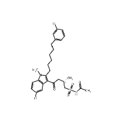 CC(=O)NS(=O)(=O)C[C@@H](C)CC(=O)c1c(CCCCCCc2cccc(Cl)c2)n(C)c2ccc(Cl)cc12